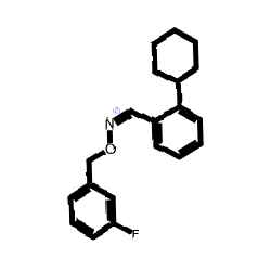 Fc1cccc(CO/N=[C]\c2ccccc2C2CCCCC2)c1